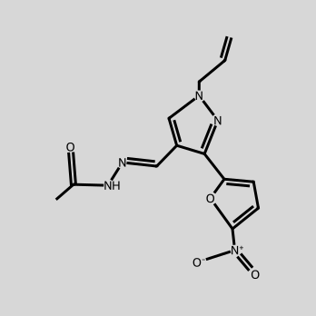 C=CCn1cc(C=NNC(C)=O)c(-c2ccc([N+](=O)[O-])o2)n1